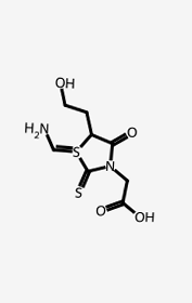 NC=S1C(=S)N(CC(=O)O)C(=O)C1CCO